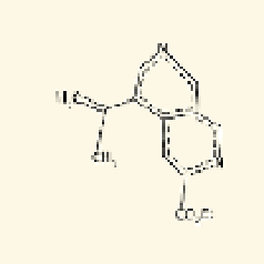 C=C(C)c1cncc2cnc(C(=O)OCC)cc12